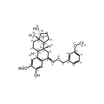 COc1cc2c(cc1O)C(=NOCc1cccc(OC(F)(F)F)c1)C[C@@H]1[C@@H]2CC[C@]2(C)[C@H](O)CC[C@@H]12